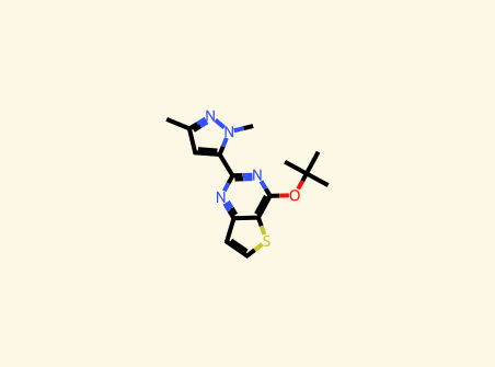 Cc1cc(-c2nc(OC(C)(C)C)c3sccc3n2)n(C)n1